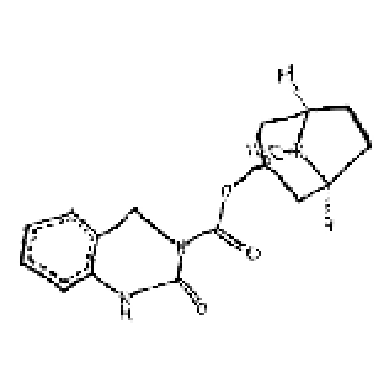 CN1[C@@H]2CC[C@H]1CC(OC(=O)N1Cc3ccccc3NC1=O)C2